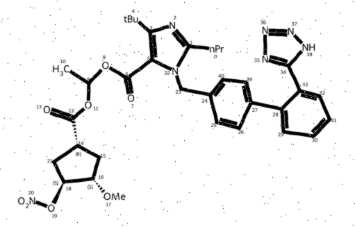 CCCc1nc(C(C)(C)C)c(C(=O)OC(C)OC(=O)[C@@H]2C[C@H](OC)[C@@H](O[N+](=O)[O-])C2)n1Cc1ccc(-c2ccccc2-c2nnn[nH]2)cc1